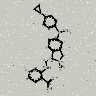 CN(c1ccc(C2CC2)cc1)c1ccc2c(c1)CN(C)[C@@H]2CNc1cnccc1C(=O)O